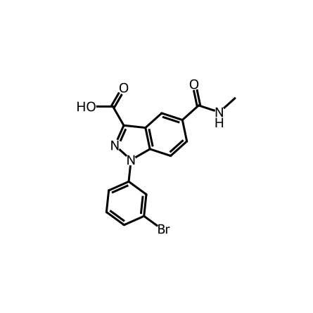 CNC(=O)c1ccc2c(c1)c(C(=O)O)nn2-c1cccc(Br)c1